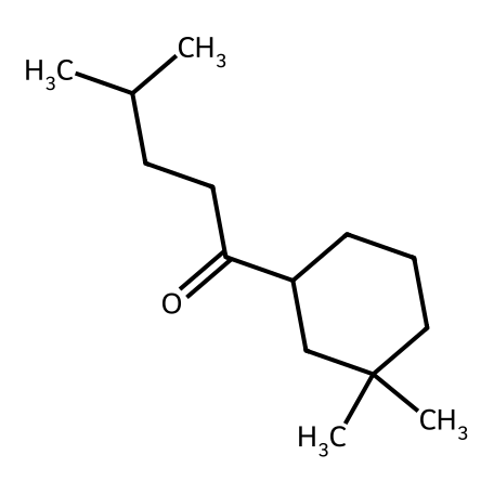 CC(C)CCC(=O)C1CCCC(C)(C)C1